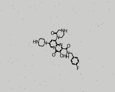 O=C(NCc1ccc(F)cc1)c1nc2c(N3CCNCC3=O)cc(N3CCNCC3)cn2c(=O)c1O